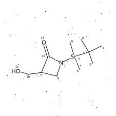 CC(C)(C)[Si](C)(C)N1CC(CO)C1=O